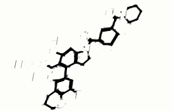 Cc1cc2c(c(-c3cc(F)c4c(c3C)CCCO4)c1CC(=O)O)CCN2C(=O)c1cccc(C(=O)N2CCCCC2)c1